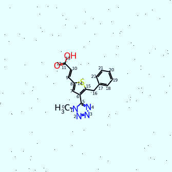 Cn1nnnc1-c1cc(C=CC(=O)O)sc1Cc1ccccc1